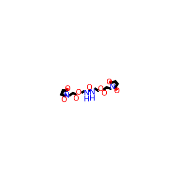 O=C(NCCOC(=O)CCN1C(=O)C=CC1=O)NCCOC(=O)CCN1C(=O)C=CC1=O